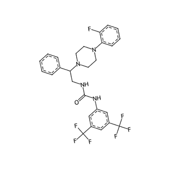 O=C(NCC(c1ccccc1)N1CCN(c2ccccc2F)CC1)Nc1cc(C(F)(F)F)cc(C(F)(F)F)c1